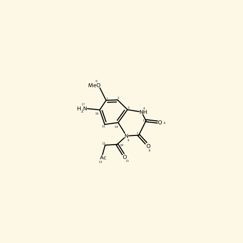 COc1cc2[nH]c(=O)c(=O)n(C(=O)CC(C)=O)c2cc1N